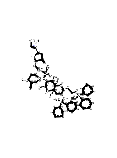 C=C1C[C@H](/C=C/C(=O)O)O[C@H]1CC[C@H]1C[C@@H](C)C(=C)[C@@H](C[C@@H]2O[C@H]3C[C@@H](O[Si](c4ccccc4)(c4ccccc4)C(C)(C)C)[C@@H](CCO[Si](c4ccccc4)(c4ccccc4)C(C)(C)C)O[C@H]3[C@H](C)[C@H]2O[Si](CC)(CC)CC)O1